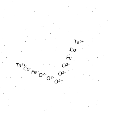 [Co].[Co].[Fe].[Fe].[O-2].[O-2].[O-2].[O-2].[O-2].[Ta+5].[Ta+5]